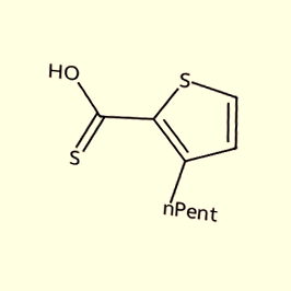 CCCCCc1ccsc1C(O)=S